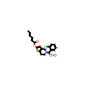 C/C=C/C=C/C(=O)Oc1cc2c(s1)CCN(C(C=O)c1ccccc1Cl)C2